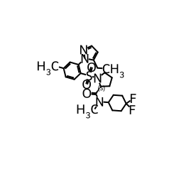 CCc1ccnn1-c1cc(C)ccc1S(=O)(=O)N1CCC[C@H]1C(=O)N(C)C1CCC(F)(F)CC1